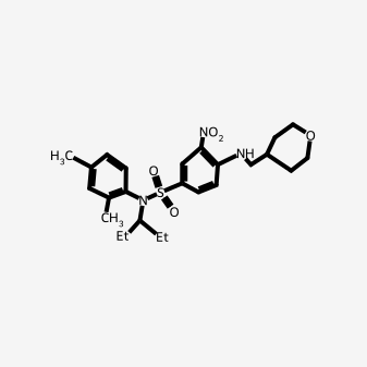 CCC(CC)N(c1ccc(C)cc1C)S(=O)(=O)c1ccc(NCC2CCOCC2)c([N+](=O)[O-])c1